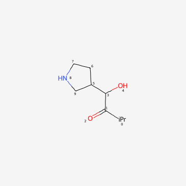 CC(C)C(=O)C(O)C1CCNC1